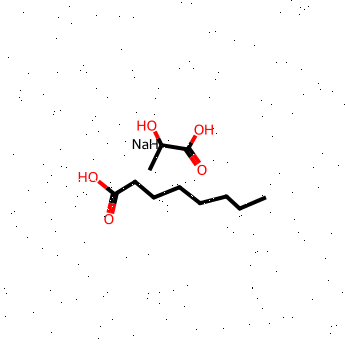 CC(O)C(=O)O.CCCCCCCC(=O)O.[NaH]